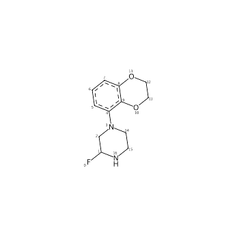 FC1CN(c2cccc3c2OCCO3)CCN1